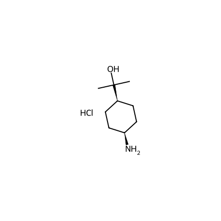 CC(C)(O)[C@H]1CC[C@@H](N)CC1.Cl